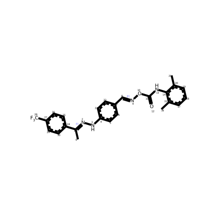 C/C(=N\Nc1ccc(/C=N/OC(=O)Nc2c(C)cccc2C)cc1)c1ccc(C(F)(F)F)cc1